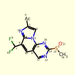 CC(=O)c1cn2c(n1)c(C(F)F)cc1cnc([S+](C)[O-])nc12